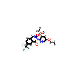 CCCOc1cnc(-n2ncc3ccc(C(F)(F)F)cc3c2=O)c(S(=O)(=O)CC)c1